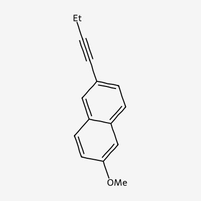 CCC#Cc1ccc2cc(OC)ccc2c1